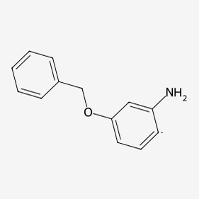 Nc1[c]ccc(OCc2ccccc2)c1